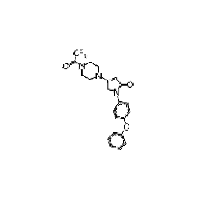 O=C1CC(N2CCN(C(=O)C(F)(F)F)CC2)CN1c1ccc(Oc2ccccc2)cc1